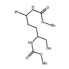 CC(C)C(CCC(CO)NC(=O)OC(C)(C)C)NC(=O)OC(C)(C)C